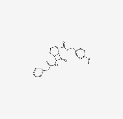 COc1ccc(COC(=O)C2=CCSC3C(NC(=O)Cc4ccccc4)C(=O)N23)cc1